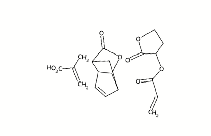 C=C(C)C(=O)O.C=CC(=O)OC1CCOC1=O.O=C1OC2C3C=CC2C1C3